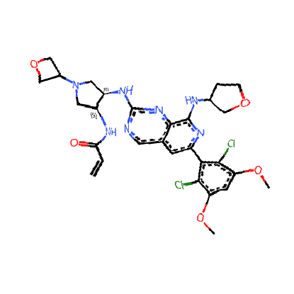 C=CC(=O)N[C@H]1CN(C2COC2)C[C@H]1Nc1ncc2cc(-c3c(Cl)c(OC)cc(OC)c3Cl)nc(NC3CCOC3)c2n1